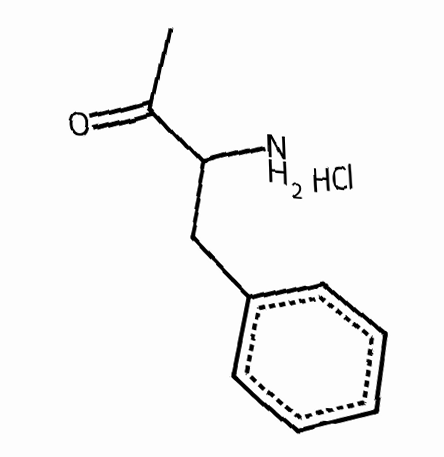 CC(=O)C(N)Cc1ccccc1.Cl